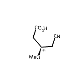 CO[C@H](CC#N)CC(=O)O